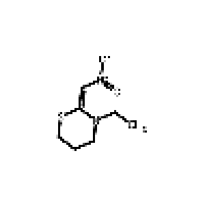 CCN1CCCSC1=C[N+](=O)[O-]